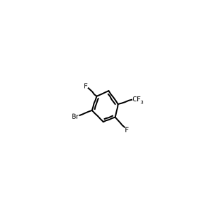 Fc1cc(C(F)(F)F)c(F)cc1Br